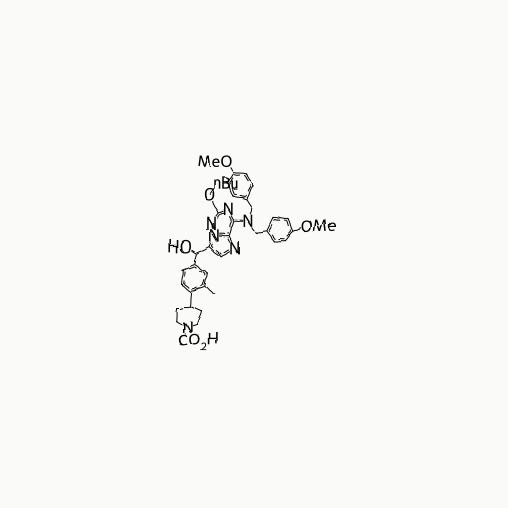 CCCCOc1nc(N(Cc2ccc(OC)cc2)Cc2ccc(OC)cc2)c2ncc(C(O)c3ccc(C4CCN(C(=O)O)CC4)c(C)c3)n2n1